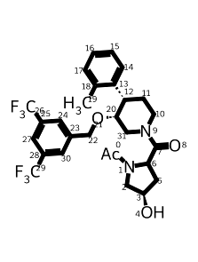 CC(=O)N1C[C@H](O)CC1C(=O)N1CC[C@@H](c2ccccc2C)[C@@H](OCc2cc(C(F)(F)F)cc(C(F)(F)F)c2)C1